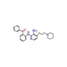 Nc1c(CCCN2CCCCC2)ccnc1Nc1ccccc1C(=O)c1ccccc1